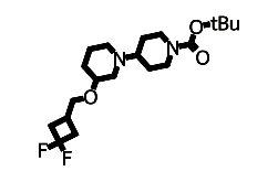 CC(C)(C)OC(=O)N1CCC(N2CCCC(OCC3CC(F)(F)C3)C2)CC1